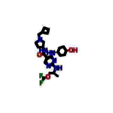 C[C@@H](COC(F)F)Nc1ncc(C(=O)N[C@H]2CCN(CC3CCC3)C2)c(N[C@H]2CC[C@H](O)CC2)n1